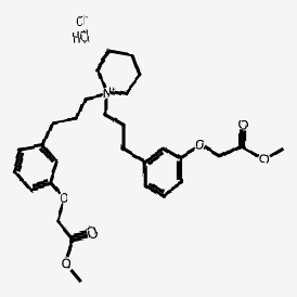 COC(=O)COc1cccc(CCC[N+]2(CCCc3cccc(OCC(=O)OC)c3)CCCCC2)c1.Cl.[Cl-]